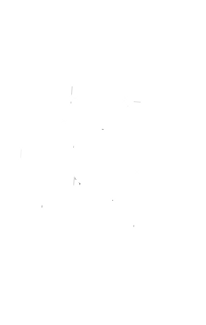 CC1CC(C)(C)N(C)C(C)(C)C1(C)C